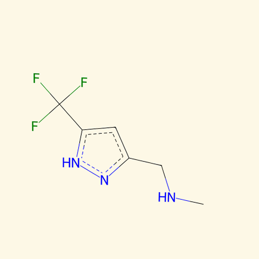 CNCc1cc(C(F)(F)F)[nH]n1